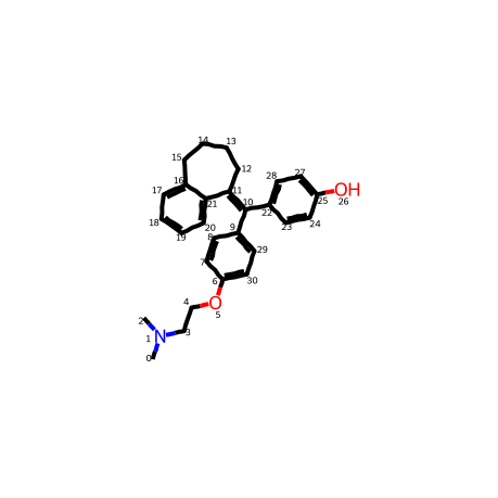 CN(C)CCOc1ccc(C(=C2CCCCc3ccccc32)c2ccc(O)cc2)cc1